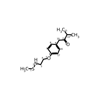 CSNCCOc1ccc(CC(=O)C(C)C)cc1